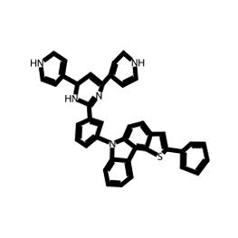 C1=CC(C2=CC(C3=CCNC=C3)NC(c3cccc(-n4c5ccccc5c5c6sc(-c7ccccc7)cc6ccc54)c3)=N2)=CCN1